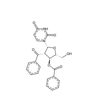 O=C(O[C@H]1[C@H](C(=O)c2ccccc2)[C@H](n2ccc(=O)[nH]c2=O)O[C@@H]1CO)c1ccccc1